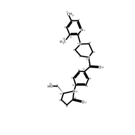 Cc1cnc(N2CCN(C(=O)c3ccc(N4C(=O)CC[C@@H]4CO)cc3)CC2)c(C)c1